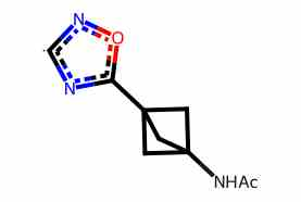 CC(=O)NC12CC(c3n[c]no3)(C1)C2